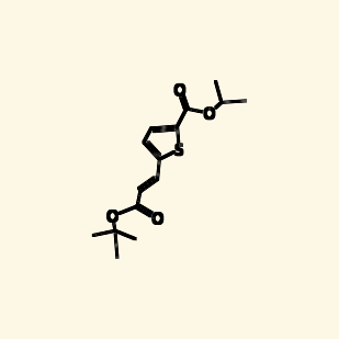 CC(C)OC(=O)c1ccc(/C=C/C(=O)OC(C)(C)C)s1